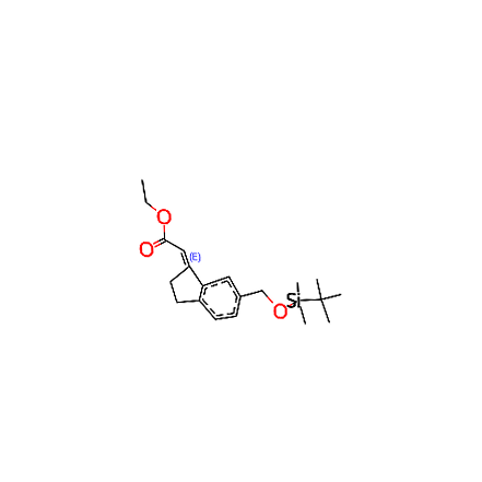 CCOC(=O)/C=C1\CCc2ccc(CO[Si](C)(C)C(C)(C)C)cc21